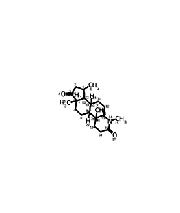 CC1CC(=O)[C@@]2(C)CC[C@@H]3[C@@H](CCC4N(C)C(=O)CC[C@@]43C)[C@H]12